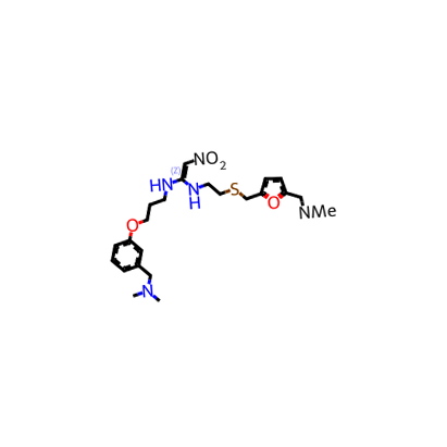 CNCc1ccc(CSCCN/C(=C\[N+](=O)[O-])NCCCOc2cccc(CN(C)C)c2)o1